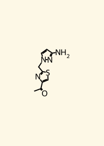 CC(=O)c1csc(Cn2ccc(N)n2)n1